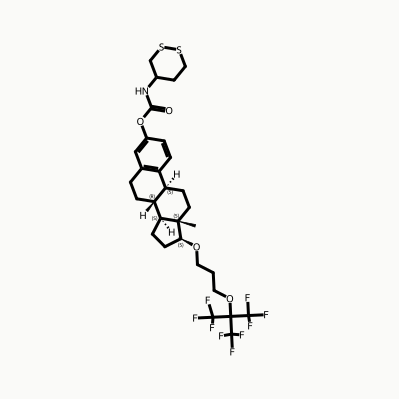 C[C@]12CC[C@@H]3c4ccc(OC(=O)NC5CCSSC5)cc4CC[C@H]3[C@@H]1CC[C@@H]2OCCCOC(C(F)(F)F)(C(F)(F)F)C(F)(F)F